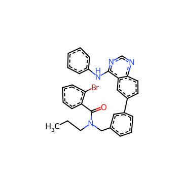 CCCN(Cc1cccc(-c2ccc3ncnc(Nc4ccccc4)c3c2)c1)C(=O)c1ccccc1Br